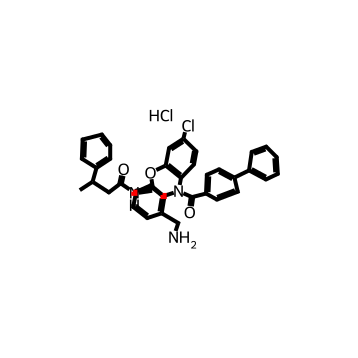 CC(CC(=O)NCCN(C(=O)c1ccc(-c2ccccc2)cc1)c1ccc(Cl)cc1Oc1cccc(CN)c1)c1ccccc1.Cl